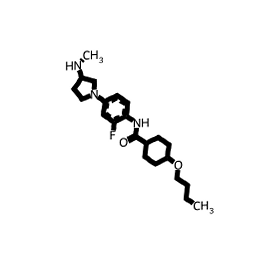 CCCCOC1CCC(C(=O)Nc2ccc(N3CCC(NC)C3)cc2F)CC1